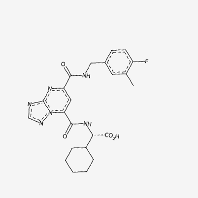 Cc1cc(CNC(=O)c2cc(C(=O)N[C@H](C(=O)O)C3CCCCC3)n3ncnc3n2)ccc1F